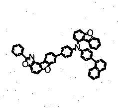 c1ccc(-c2nc3c(ccc4oc5cc(-c6ccc(N(c7ccc(-c8cccc9ccccc89)cc7)c7cccc8oc9ccccc9c78)cc6)ccc5c43)o2)cc1